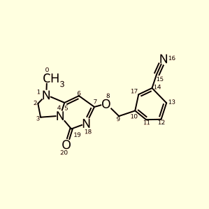 CN1CCn2c1cc(OCc1cccc(C#N)c1)nc2=O